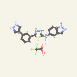 O=C(O)C(F)(F)F.c1cc(-c2cn[nH]c2)cc(-c2nnc(Nc3ccc4[nH]ncc4c3)s2)c1